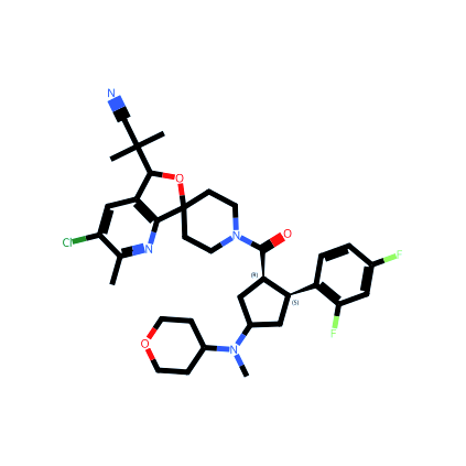 Cc1nc2c(cc1Cl)C(C(C)(C)C#N)OC21CCN(C(=O)[C@@H]2CC(N(C)C3CCOCC3)C[C@@H]2c2ccc(F)cc2F)CC1